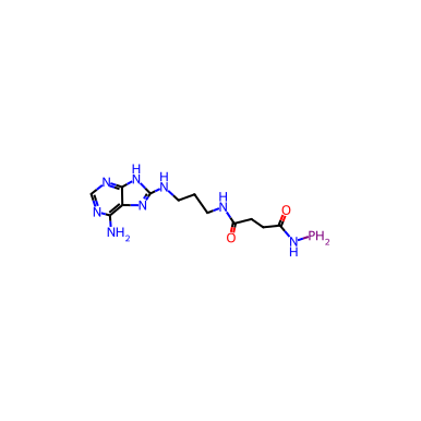 Nc1ncnc2[nH]c(NCCCNC(=O)CCC(=O)NP)nc12